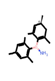 CC1=C[C@@H](C)CC(C)=C1B(N)c1c(C)cc(C)cc1C